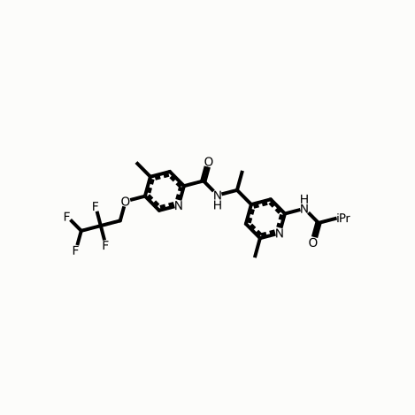 Cc1cc(C(C)NC(=O)c2cc(C)c(OCC(F)(F)C(F)F)cn2)cc(NC(=O)C(C)C)n1